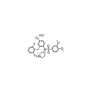 COc1ccc(S(=O)(=O)N(c2ccc(Cl)cc2Cc2c(F)cccc2F)[C@H]2CCNC2)cc1OC.Cl